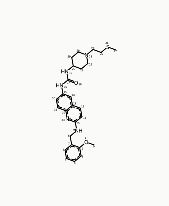 COc1ccccc1CNc1ccc2cc(NC(=O)NC3CCN(CCSC)CC3)ccc2n1